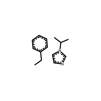 CC(C)n1ccnc1.CCc1ccccc1